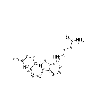 NC(=O)CCCNc1cccc2c1CN(C1CCC(=O)NC1=O)C2=O